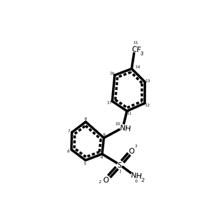 NS(=O)(=O)c1ccccc1Nc1ccc(C(F)(F)F)cc1